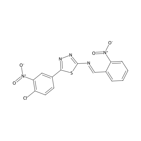 O=[N+]([O-])c1cc(-c2nnc(N=Cc3ccccc3[N+](=O)[O-])s2)ccc1Cl